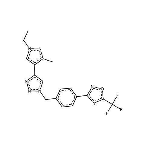 CCn1cc(-c2cn(Cc3ccc(-c4noc(C(F)(F)F)n4)cc3)nn2)c(C)n1